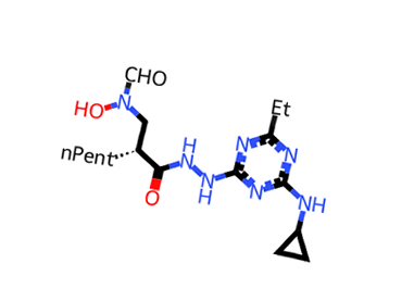 CCCCC[C@H](CN(O)C=O)C(=O)NNc1nc(CC)nc(NC2CC2)n1